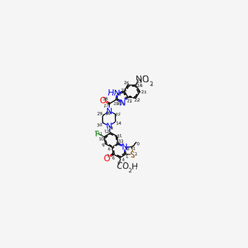 CC1Sc2c(C(=O)O)c(=O)c3cc(F)c(N4CCN(C(=O)c5nc6ccc([N+](=O)[O-])cc6[nH]5)CC4)cc3n21